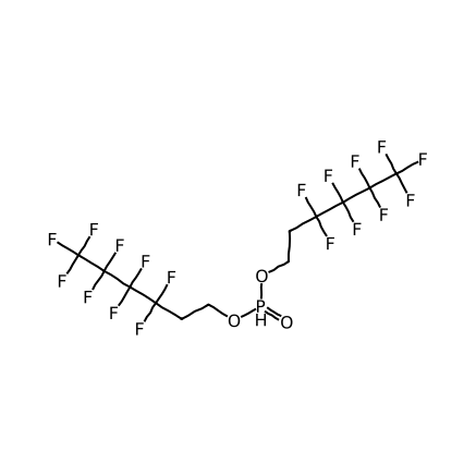 O=[PH](OCCC(F)(F)C(F)(F)C(F)(F)C(F)(F)F)OCCC(F)(F)C(F)(F)C(F)(F)C(F)(F)F